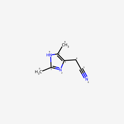 Cc1nc(CC#N)c(C)[nH]1